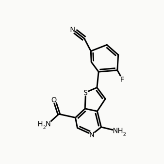 N#Cc1ccc(F)c(-c2cc3c(N)ncc(C(N)=O)c3s2)c1